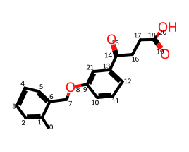 Cc1ccccc1COc1cccc(C(=O)CCC(=O)O)c1